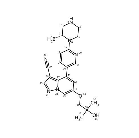 B[C@@H]1CNCCN1c1ccc(-c2cc(OCC(C)(C)O)cn3ncc(C#N)c23)cn1